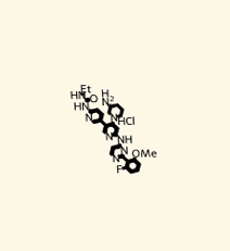 CCNC(=O)Nc1ccc(-c2cnc(Nc3ccnc(-c4c(F)cccc4OC)n3)cc2N2CCC[C@H](N)C2)cn1.Cl